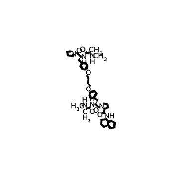 CN[C@@H](C)C(=O)N[C@@H](Cc1ccc(OCCCCOc2ccc(C[C@H](NC(=O)[C@H](C)NC)C(=O)N3CCCC3C(=O)N[C@@H]3CCCc4ccccc43)cc2)cc1)C(=O)N1CCCC1